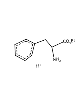 CCOC(=O)C(N)Cc1ccccc1.[H+]